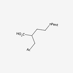 CCCCCCCC(CC(C)=O)C(=O)O